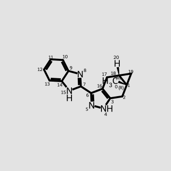 C[C@@]12Cc3[nH]nc(-c4nc5ccccc5[nH]4)c3C[C@@H]1C2